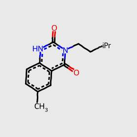 Cc1ccc2[nH]c(=O)n(CCC(C)C)c(=O)c2c1